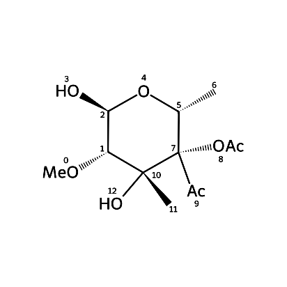 CO[C@@H]1[C@@H](O)O[C@H](C)[C@@](OC(C)=O)(C(C)=O)[C@]1(C)O